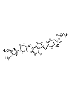 Cc1nc(-c2ccc(Oc3ccc(F)c4c3CC[C@H]4Oc3ccc4c(c3)OC[C@H]4CC(=O)O)cc2)nn1C